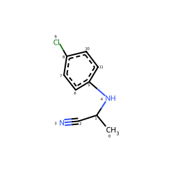 CC(C#N)Nc1ccc(Cl)cc1